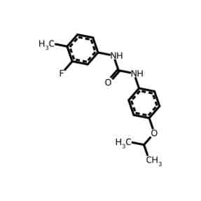 Cc1ccc(NC(=O)Nc2ccc(OC(C)C)cc2)cc1F